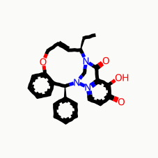 CC[C@@H]1/C=C/COc2ccccc2[C@H](c2ccccc2)N2CN1C(=O)c1c(O)c(=O)ccn12